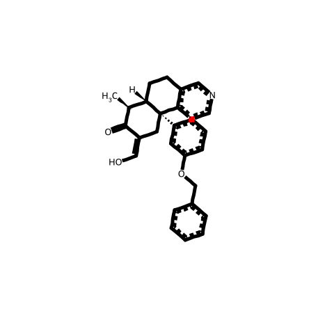 C[C@@H]1C(=O)C(=CO)C[C@]2(c3cccc(OCc4ccccc4)c3)c3ncncc3CC[C@@H]12